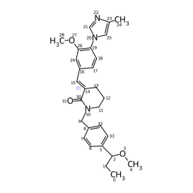 CCC(OC)c1ccc(CN2CCC/C(=C\c3ccc(-n4cnc(C)c4)c(OC)c3)C2=O)cc1